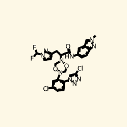 Cn1cc2cc(NC(=O)C(Cc3ccn(C(F)F)n3)N3CON(c4cc(Cl)ccc4-n4cc(Cl)nn4)CO3)ccc2n1